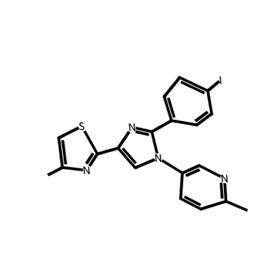 Cc1ccc(-n2cc(-c3nc(C)cs3)nc2-c2ccc(I)cc2)cn1